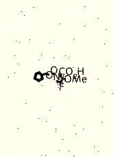 CO[C@H]1[C@@H](C(=O)O)N(C(=O)OCc2ccccc2)C[C@@H]1F